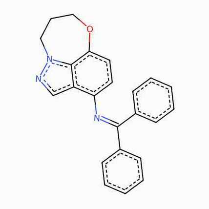 c1ccc(C(=Nc2ccc3c4c2cnn4CCCO3)c2ccccc2)cc1